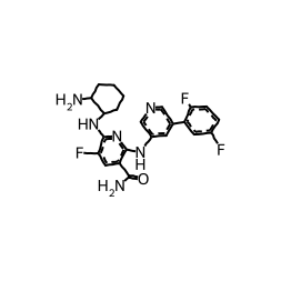 NC(=O)c1cc(F)c(NC2CCCCC2N)nc1Nc1cncc(-c2cc(F)ccc2F)c1